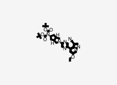 CCOc1cc(-c2cnc(N3C[C@H]4C[C@H](N(C(=O)OC(C)(C)C)C(=O)OC(C)(C)C)C[C@H]4C3)cn2)c2c(C#N)cnn2c1